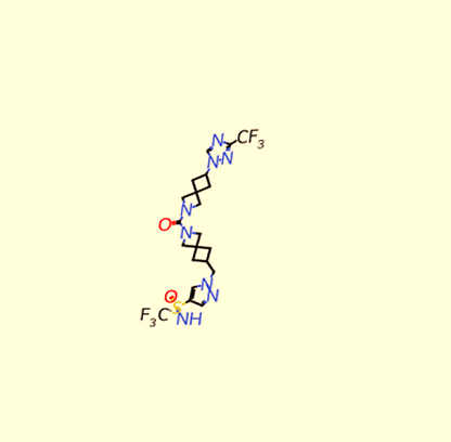 N=S(=O)(c1cnn(CC2CC3(C2)CN(C(=O)N2CC4(CC(n5cnc(C(F)(F)F)n5)C4)C2)C3)c1)C(F)(F)F